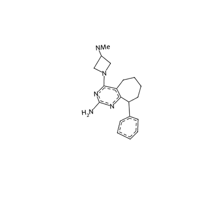 CNC1CN(c2nc(N)nc3c2CCCCC3c2ccccc2)C1